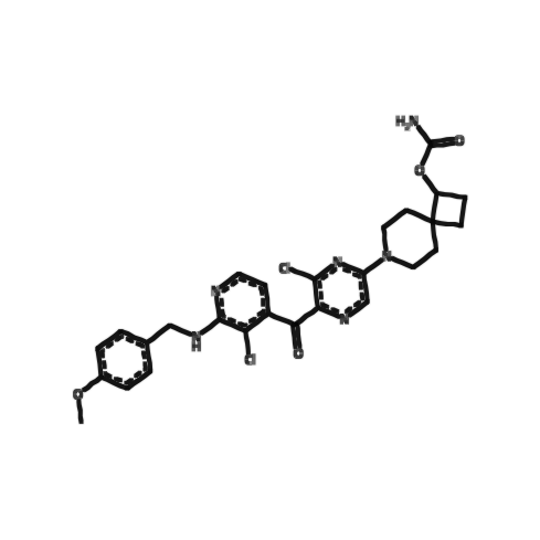 COc1ccc(CNc2nccc(C(=O)c3ncc(N4CCC5(CCC5OC(N)=O)CC4)nc3Cl)c2Cl)cc1